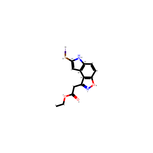 CCOC(=O)Cc1noc2ccc3[nH]c(SI)cc3c12